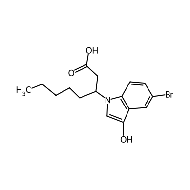 CCCCCC(CC(=O)O)n1cc(O)c2cc(Br)ccc21